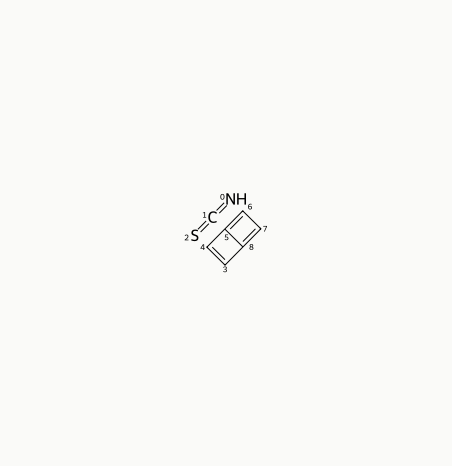 N=C=S.c1cc2ccc1-2